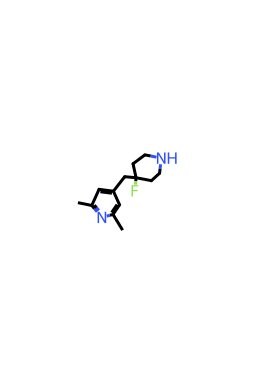 Cc1cc(CC2(F)CCNCC2)cc(C)n1